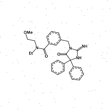 CCN(CCOC)C(=O)c1cccc(CN2C(=N)NC(c3ccccc3)(c3ccccc3)C2=O)c1